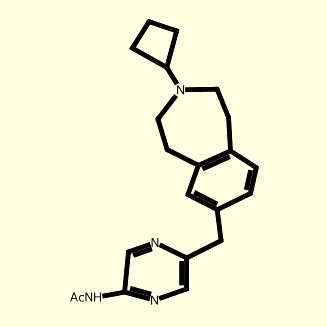 CC(=O)Nc1cnc(Cc2ccc3c(c2)CCN(C2CCC2)CC3)cn1